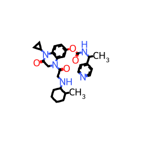 CC(NC(=O)Oc1ccc2c(c1)N(C(=O)CNC1CCCCC1C)CC(=O)N2C1CC1)c1ccncc1